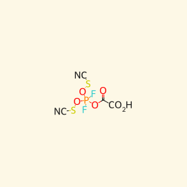 N#CSOP(F)(F)(OSC#N)OC(=O)C(=O)O